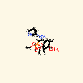 CCOP(=O)(CC(Nc1cccnc1)c1cc(C)c(O)c(C)c1)OCC